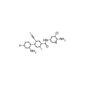 CC#Cc1cc(C(=O)Nc2cnc(N)c(Cl)c2)c(C)cc1-c1ccc(F)cc1N